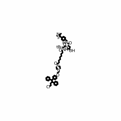 Cc1ncsc1-c1ccc(CNC(=O)[C@@H]2C[C@@H](O)CN2C(=O)[C@@H](NC(=O)CCCCCCCC(=O)N2CCN(CCOc3ccc(/C(=C(/CCCl)c4ccccc4)c4ccccc4)cc3)CC2)C(C)(C)C)cc1